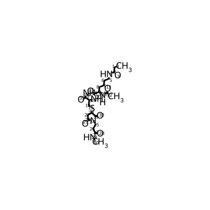 CCC(=O)NCCCCC(NC(C)=O)C(=O)NC(CSC1CC(=O)N(CCC(=O)NC)C1=O)C(N)=O